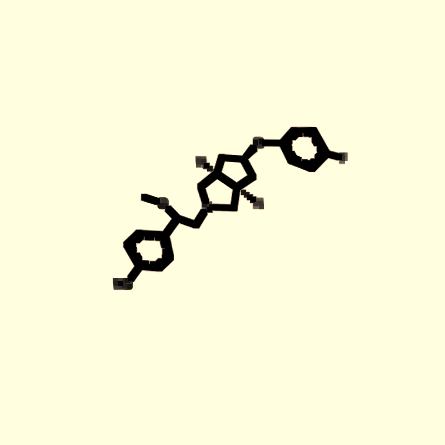 COC(CN1C[C@H]2C[C@@H](Oc3ccc(F)cc3)C[C@H]2C1)c1ccc(O)cc1